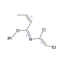 C\C=C/C(=N\C(Cl)=C\CC)OC(C)C